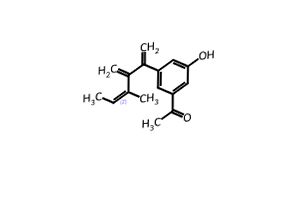 C=C(C(=C)c1cc(O)cc(C(C)=O)c1)/C(C)=C\C